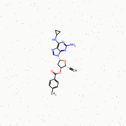 C#C[C@H]1O[C@@H](n2cnc3c(NC4CC4)nc(N)nc32)C[C@@H]1OC(=O)c1ccc(C)cc1